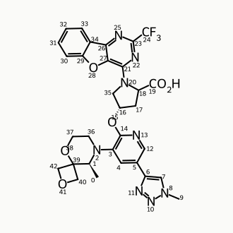 C[C@@H]1N(c2cc(-c3cn(C)nn3)cnc2O[C@H]2CC(C(=O)O)N(c3nc(C(F)(F)F)nc4c3oc3ccccc34)C2)CCOC12COC2